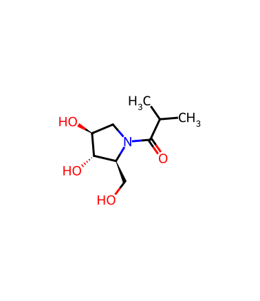 CC(C)C(=O)N1C[C@H](O)[C@@H](O)[C@@H]1CO